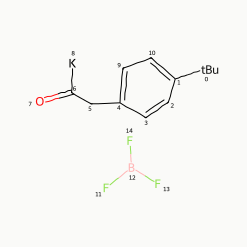 CC(C)(C)c1ccc(C[C](=O)[K])cc1.FB(F)F